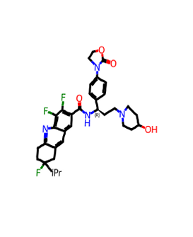 CC(C)C1(F)CCc2nc3c(F)c(F)c(C(=O)N[C@H](CCN4CCC(O)CC4)c4ccc(N5CCOC5=O)cc4)cc3cc2C1